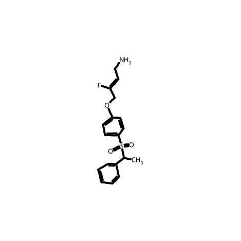 CC(c1ccccc1)S(=O)(=O)c1ccc(OC/C(F)=C/CN)cc1